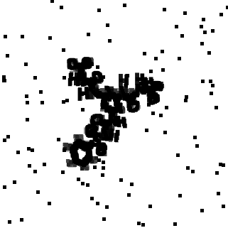 O=C(Nc1nc(NC(=O)N[SH](=O)=O)nc(NC(=O)NS(=O)(=O)c2ccccc2)n1)N[SH](=O)=O